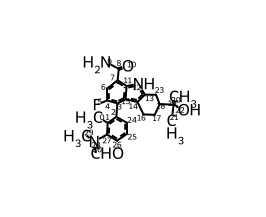 Cc1c(-c2c(F)cc(C(N)=O)c3[nH]c4c(c23)CCC(C(C)(C)O)C4)cccc1N(C)C=O